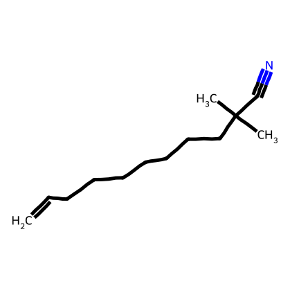 C=CCCCCCCCC(C)(C)C#N